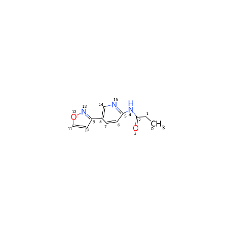 CCC(=O)Nc1ccc(-c2ccon2)cn1